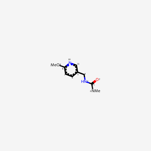 CNC(=O)NCc1ccc(OC)nc1